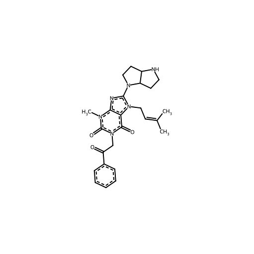 CC(C)=CCn1c(N2CCC3NCCC32)nc2c1c(=O)n(CC(=O)c1ccccc1)c(=O)n2C